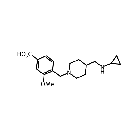 COc1cc(C(=O)O)ccc1CN1CCC(CNC2CC2)CC1